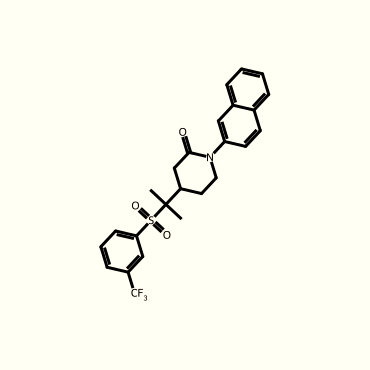 CC(C)(C1CCN(c2ccc3ccccc3c2)C(=O)C1)S(=O)(=O)c1cccc(C(F)(F)F)c1